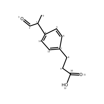 CC(C=O)c1ccc(CCC(=O)O)cc1